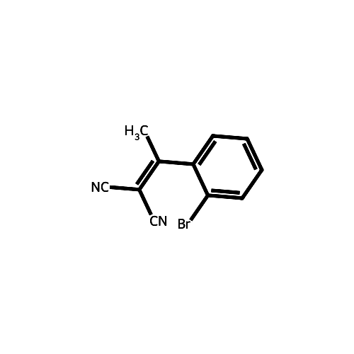 CC(=C(C#N)C#N)c1ccccc1Br